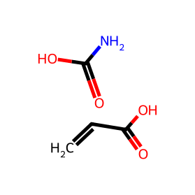 C=CC(=O)O.NC(=O)O